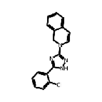 Clc1ccccc1-c1nc(N2C=Cc3ccccc3C2)n[nH]1